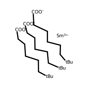 CC(C)(C)CCCCCC(=O)[O-].CC(C)(C)CCCCCC(=O)[O-].CC(C)(C)CCCCCC(=O)[O-].[Sm+3]